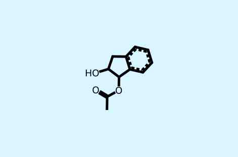 CC(=O)OC1c2ccccc2CC1O